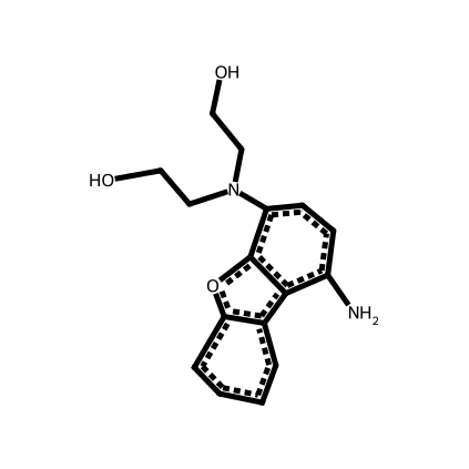 Nc1ccc(N(CCO)CCO)c2oc3ccccc3c12